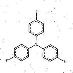 Fc1ccc(N(c2ccc(Br)cc2)c2ccc(Br)cc2)cc1